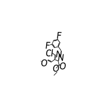 CCOC(=O)c1nn(Cc2cc(F)cc(F)c2)c(Cl)c1C=COC